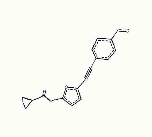 O=Cc1ccc(C#Cc2ccc(CNC3CC3)o2)cc1